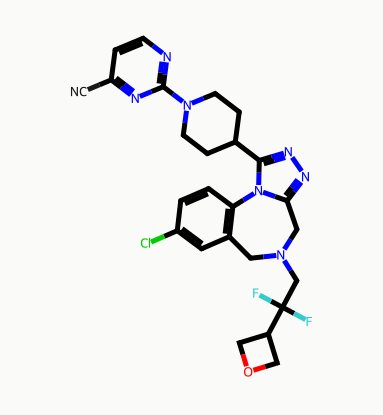 N#Cc1ccnc(N2CCC(c3nnc4n3-c3ccc(Cl)cc3CN(CC(F)(F)C3COC3)C4)CC2)n1